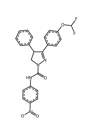 O=C(Nc1ccc([N+](=O)[O-])cc1)N1CC(c2ccccc2)C(c2ccc(OC(F)F)cc2)=N1